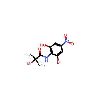 CC(C)(Br)C(=O)Nc1c(O)cc([N+](=O)[O-])cc1Br